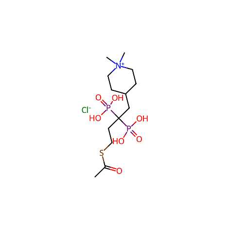 CC(=O)SCCC(CC1CC[N+](C)(C)CC1)(P(=O)(O)O)P(=O)(O)O.[Cl-]